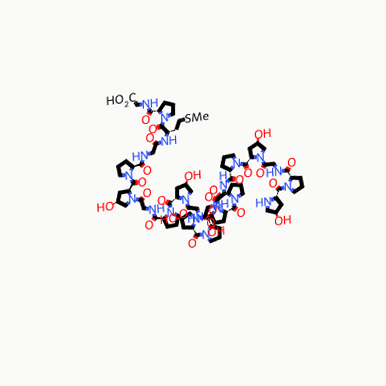 CSCC[C@H](NC(=O)CNC(=O)[C@@H]1CCCN1C(=O)[C@@H]1C[C@@H](O)CN1C(=O)CNC(=O)[C@@H]1CCCN1C(=O)[C@@H]1C[C@@H](O)CN1C(=O)CNC(=O)[C@@H]1CCCN1C(=O)[C@@H]1C[C@@H](O)CN1C(=O)CNC(=O)[C@@H]1CCCN1C(=O)[C@@H]1C[C@@H](O)CN1C(=O)CNC(=O)[C@@H]1CCCN1C(=O)[C@@H]1C[C@@H](O)CN1C(=O)CNC(=O)[C@@H]1CCCN1C(=O)[C@@H]1C[C@@H](O)CN1)C(=O)N1CCC[C@H]1C(=O)NCC(=O)O